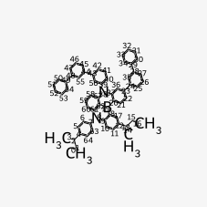 CCC(C)c1ccc(N2c3ccc(C(C)CC)cc3B3c4ccc(-c5cccc(-c6ccccc6)c5)cc4N(c4cccc(-c5cccc(-c6ccccc6)c5)c4)c4cccc2c43)cc1